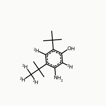 [2H]c1c(N)c(C(C)(C)C([2H])([2H])[2H])c([2H])c(C(C)(C)C)c1O